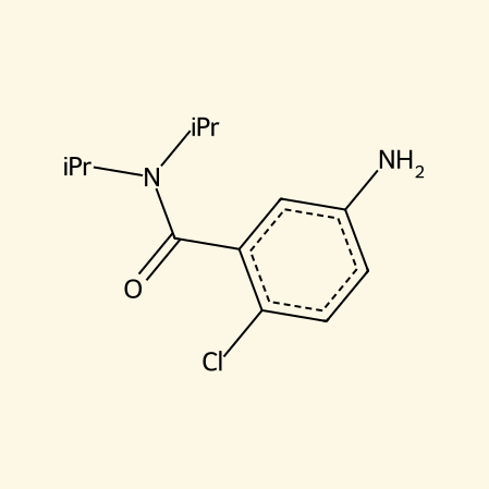 CC(C)N(C(=O)c1cc(N)ccc1Cl)C(C)C